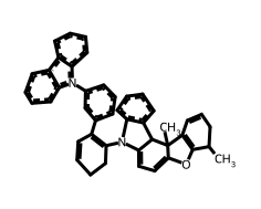 CC1CC=CC2=C1OC1=CC=C3C(c4ccccc4N3C3=C(c4cccc(-n5c6ccccc6c6ccccc65)c4)C=CCC3)C12C